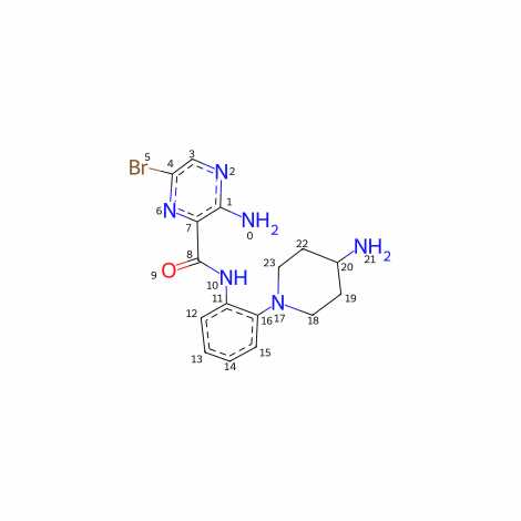 Nc1ncc(Br)nc1C(=O)Nc1ccccc1N1CCC(N)CC1